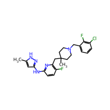 Cc1cc(Nc2ccc(F)c(CC3(C)CCN(Cc4cccc(Cl)c4F)CC3)n2)n[nH]1